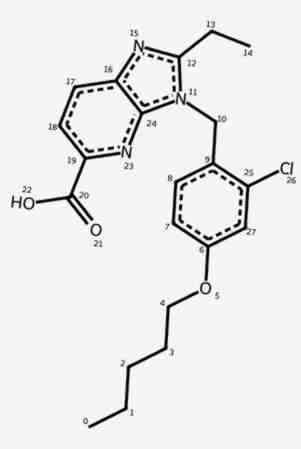 CCCCCOc1ccc(Cn2c(CC)nc3ccc(C(=O)O)nc32)c(Cl)c1